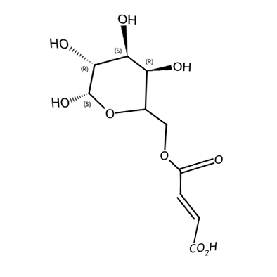 O=C(O)C=CC(=O)OCC1O[C@H](O)[C@H](O)[C@@H](O)[C@H]1O